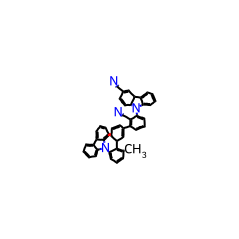 Cc1cccc(-n2c3ccccc3c3ccccc32)c1C1C=C(c2cccc(N3c4ccccc4C4C=C(C#N)C=CC43)c2C#N)C=CC1